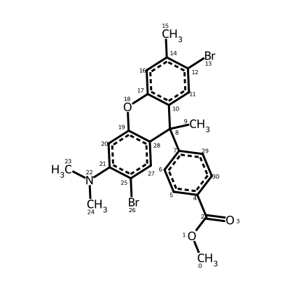 COC(=O)c1ccc(C2(C)c3cc(Br)c(C)cc3Oc3cc(N(C)C)c(Br)cc32)cc1